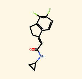 O=C(C=C1CCc2c1ccc(F)c2F)NC1CC1